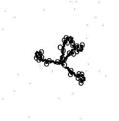 O=C(CCC(=O)ON1C(=O)CCC1=O)OCCCOCC(COCCCOC(=O)CCC(=O)ON1C(=O)CCC1=O)(COCCCOC(=O)CCC(=O)ON1C(=O)CCC1=O)COCCCOC(=O)CCC(=O)ON1C(=O)CCC1=O